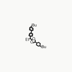 CCC(C)c1ccc(-c2ccc(C(CC)C3OCC(C4CCC(C(C)CC)CC4)CO3)cc2)cc1